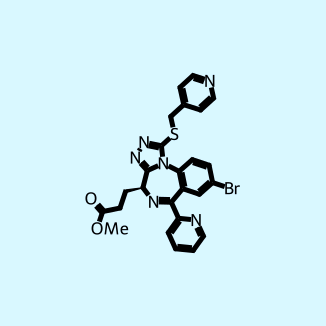 COC(=O)CC[C@@H]1N=C(c2ccccn2)c2cc(Br)ccc2-n2c(SCc3ccncc3)nnc21